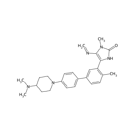 C=Nc1c(-c2cc(-c3ccc(N4CCC(N(C)C)CC4)cc3)ccc2C)[nH]c(=O)n1C